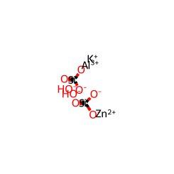 O=[Si]([O-])[O-].O=[Si]([O-])[O-].[Al+3].[K+].[OH-].[OH-].[Zn+2]